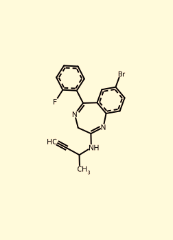 C#CC(C)NC1=Nc2ccc(Br)cc2C(c2ccccc2F)=NC1